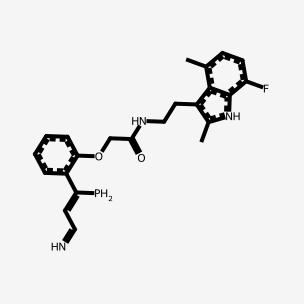 Cc1[nH]c2c(F)ccc(C)c2c1CCNC(=O)COc1ccccc1/C(P)=C/C=N